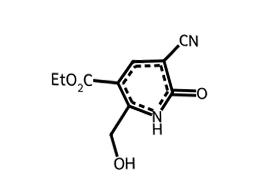 CCOC(=O)c1cc(C#N)c(=O)[nH]c1CO